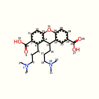 CN(C)CCCc1c(C(=O)O)ccc2c1C(CCCN(C)C)c1cc(C(=O)O)ccc1O2